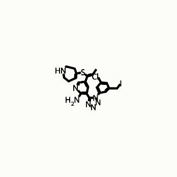 C/C=C(\SC1=CCCNCC1)c1cnc(N)c(-c2nnnn2-c2cc(Cl)cc(CI)c2)c1